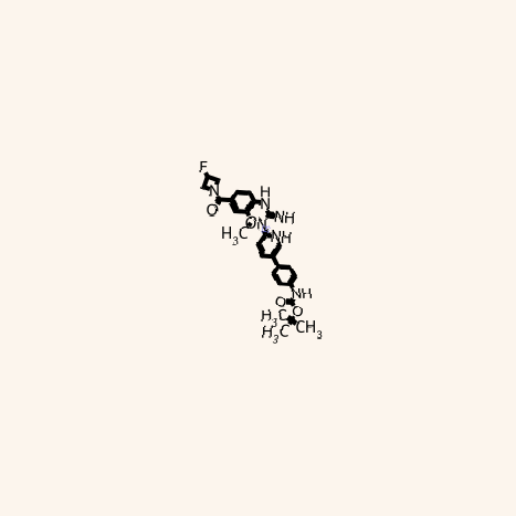 COc1cc(C(=O)N2CC(F)C2)ccc1NC(=N)/N=c1/ccc(-c2ccc(NC(=O)OC(C)(C)C)cc2)c[nH]1